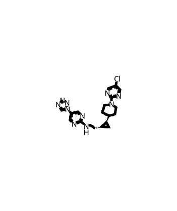 Clc1cnc(N2CCC([C@H]3C[C@@H]3CCNc3ncc(-n4cnnn4)cn3)CC2)nc1